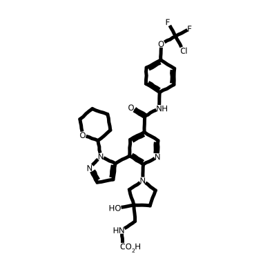 O=C(O)NCC1(O)CCN(c2ncc(C(=O)Nc3ccc(OC(F)(F)Cl)cc3)cc2-c2ccnn2C2CCCCO2)C1